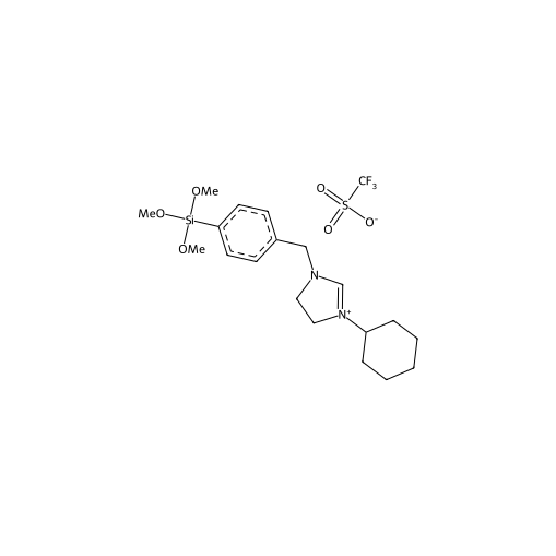 CO[Si](OC)(OC)c1ccc(CN2C=[N+](C3CCCCC3)CC2)cc1.O=S(=O)([O-])C(F)(F)F